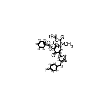 CN(C(=O)OC(C)(C)C)n1cc(-c2nnc(Cc3ccc(F)cc3)s2)c(=O)c(OCc2ccccc2)c1C(=O)O